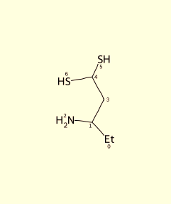 CCC(N)CC(S)S